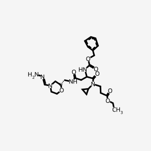 CCOC(=O)CCN(C(=O)C(CC(=O)NC[C@H]1CN(C=NN)CCO1)NC(=O)OCc1ccccc1)C1CC1